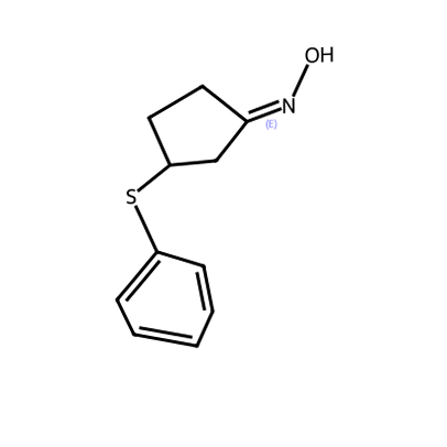 O/N=C1\CCC(Sc2ccccc2)C1